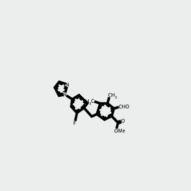 COC(=O)c1cc(Cc2ccc(-n3cccn3)cc2F)c(C)c(C)c1C=O